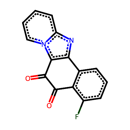 O=C1C(=O)c2c(nc3ccccn23)-c2cccc(F)c21